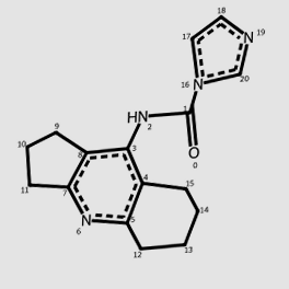 O=C(Nc1c2c(nc3c1CCC3)CCCC2)n1ccnc1